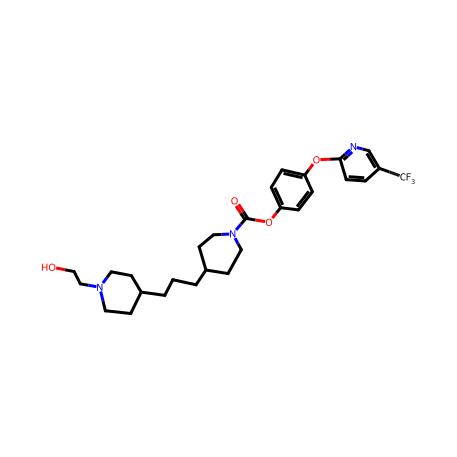 O=C(Oc1ccc(Oc2ccc(C(F)(F)F)cn2)cc1)N1CCC(CCCC2CCN(CCO)CC2)CC1